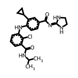 CC(C)NC(=O)c1cccc(Nc2ccc(C(=O)N=C3NCCN3)cc2C2CC2)c1Cl